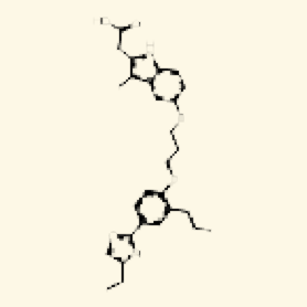 CCCc1cc(-c2nc(CC)co2)ccc1OCCCOc1ccc2[nH]c(CC(=O)O)c(C)c2c1